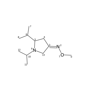 CON=C1CC(C(C)C)N(C(C)C)C1